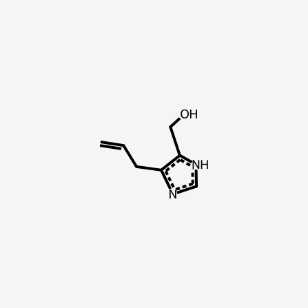 C=CCc1nc[nH]c1CO